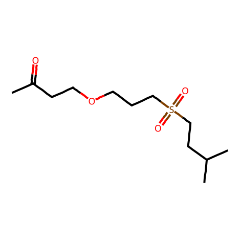 CC(=O)CCOCCCS(=O)(=O)CCC(C)C